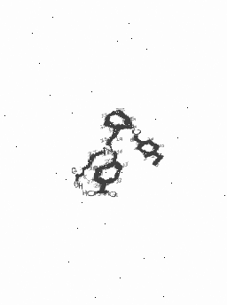 C=Cc1ccc(COc2ccccc2CCN(CCCCC(=O)O)Cc2ccc(C(=O)O)cc2)cc1